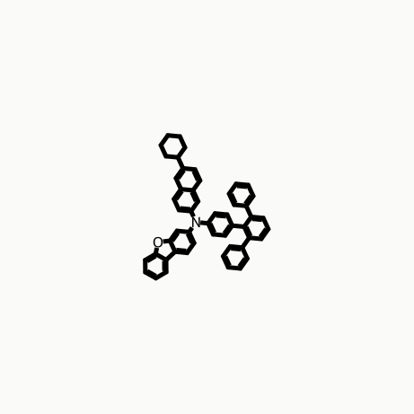 c1ccc(-c2cccc(-c3ccccc3)c2-c2ccc(N(c3ccc4cc(C5CCCCC5)ccc4c3)c3ccc4c(c3)oc3ccccc34)cc2)cc1